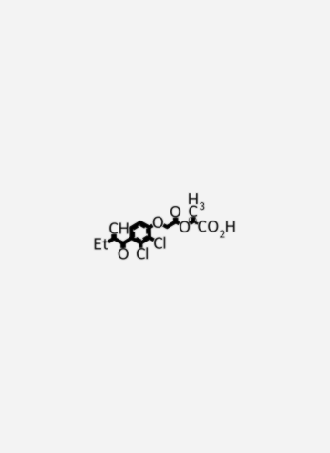 C=C(CC)C(=O)c1ccc(OCC(=O)O[C@@H](C)C(=O)O)c(Cl)c1Cl